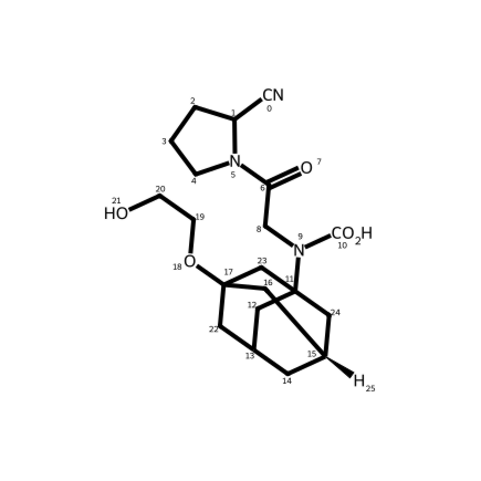 N#CC1CCCN1C(=O)CN(C(=O)O)C12CC3C[C@H](CC(OCCO)(C3)C1)C2